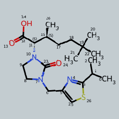 CC(C)c1nc(CN2CCN([C@H](C(=O)O)[C@@H](C)CCC(C)(C)C)C2=O)cs1